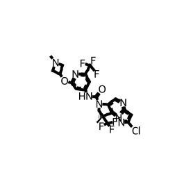 CN1CC(Oc2cc(NC(=O)N3C[C@@](C)(C(F)(F)F)c4c3cnc3cc(Cl)nn43)cc(C(F)(F)F)n2)C1